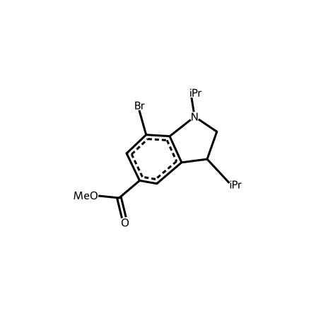 COC(=O)c1cc(Br)c2c(c1)C(C(C)C)CN2C(C)C